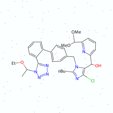 CCCCc1nc(Cl)c(C(O)c2cccc(C(OC)OC)n2)n1Cc1ccc(-c2ccccc2-c2nnnn2C(C)OCC)cc1